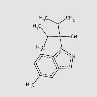 Cc1ccc2c(cnn2S(C)(C(C)C)C(C)C)c1